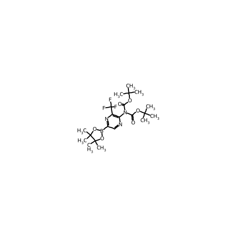 CC(C)(C)OC(=O)N(C(=O)OC(C)(C)C)c1ncc(B2OC(C)(C)C(C)(C)O2)nc1C(F)(F)F